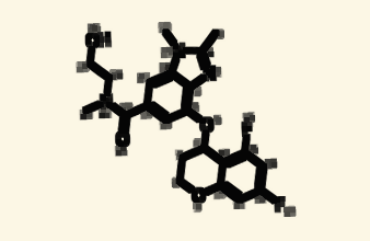 Cc1nc2c(OC3CCOc4cc(F)cc(F)c43)cc(C(=O)N(C)CCO)cc2n1C